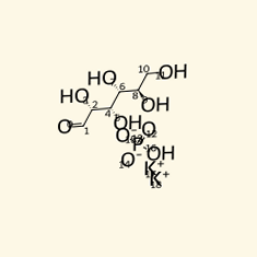 O=C[C@H](O)[C@@H](O)[C@H](O)[C@H](O)CO.O=P([O-])([O-])O.[K+].[K+]